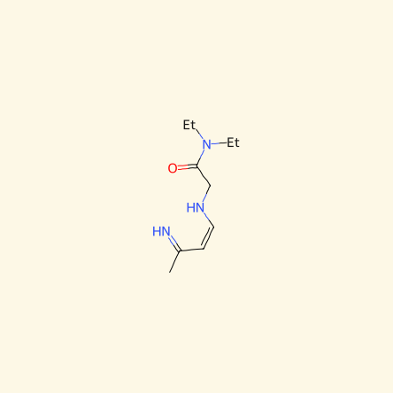 CCN(CC)C(=O)CN/C=C\C(C)=N